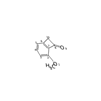 COc1cccc2c1C(=O)C2